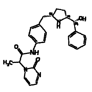 CC(C(=O)Nc1ccc(C[C@@H]2CC[C@H]([C@H](O)c3ccccc3)N2)cc1)n1cccnc1=O